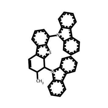 CC1C=Cc2c(sc3c(-n4c5ccccc5c5ccccc54)cccc23)C1n1c2ccccc2c2ccccc21